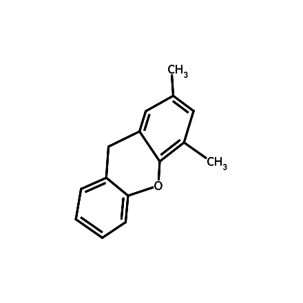 Cc1cc(C)c2c(c1)Cc1ccccc1O2